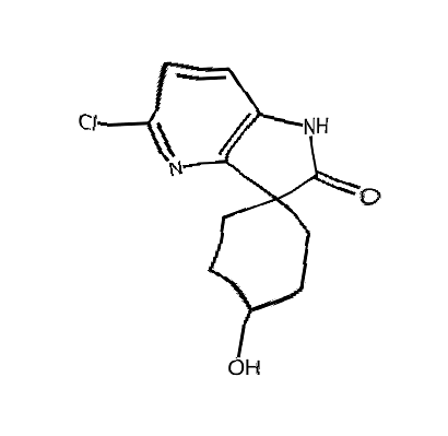 O=C1Nc2ccc(Cl)nc2C12CCC(O)CC2